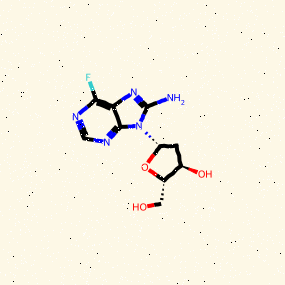 Nc1nc2c(F)ncnc2n1[C@@H]1C[C@@H](O)[C@H](CO)O1